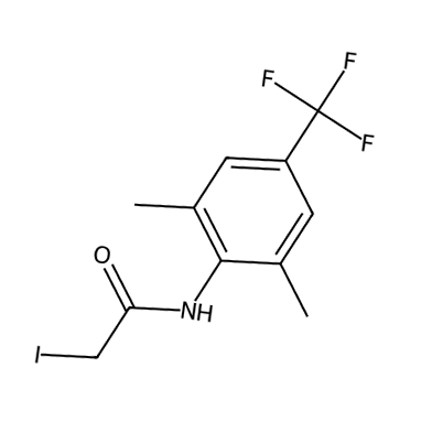 Cc1cc(C(F)(F)F)cc(C)c1NC(=O)CI